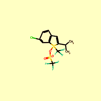 CC(C)C1=Cc2ccc(Cl)cc2S1(OS(=O)(=O)C(F)(F)F)C(F)(F)F